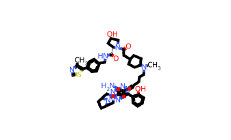 Cc1ncsc1-c1ccc(CNC(=O)[C@@H]2C[C@@H](O)CN2C(=O)CC2CCC(N(C)CCCC#Cc3cnc(N4C5CCC4CN(c4cc(-c6ccccc6O)nnc4N)C5)nc3)CC2)cc1